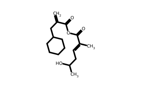 C=C(CC1CCCCC1)C(=O)OC(=O)C(C)=CCC(C)O